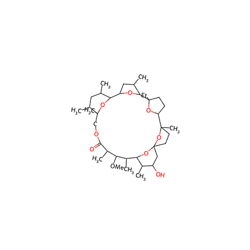 CCC12CCC(O1)C1(C)CCC3(CC(O)C(C)C(O3)C(C)C(OC)C(C)C(=O)OCC3(C)OC(C(C)CC3C)C3CC(C)C2O3)O1